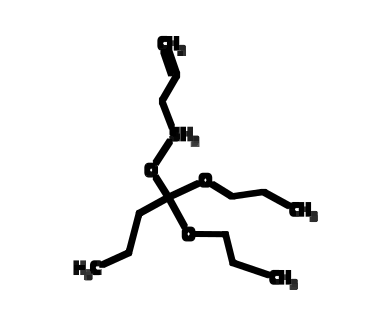 C=CC[SiH2]OC(CCC)(OCCC)OCCC